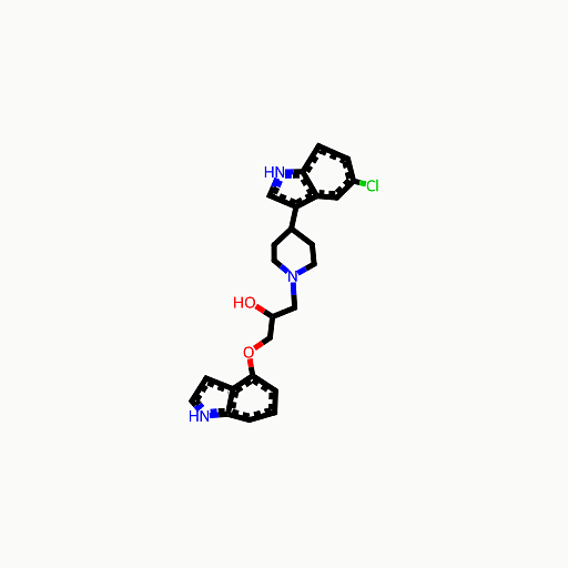 OC(COc1cccc2[nH]ccc12)CN1CCC(c2c[nH]c3ccc(Cl)cc23)CC1